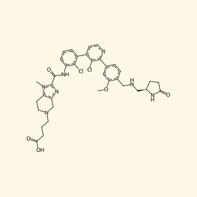 COc1cc(-c2nccc(-c3cccc(NC(=O)c4nc5c(n4C)CCN(CCCC(=O)O)C5)c3Cl)c2Cl)ccc1CNC[C@H]1CCC(=O)N1